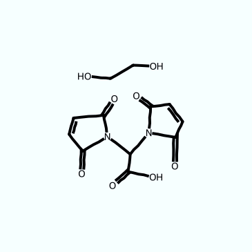 O=C(O)C(N1C(=O)C=CC1=O)N1C(=O)C=CC1=O.OCCO